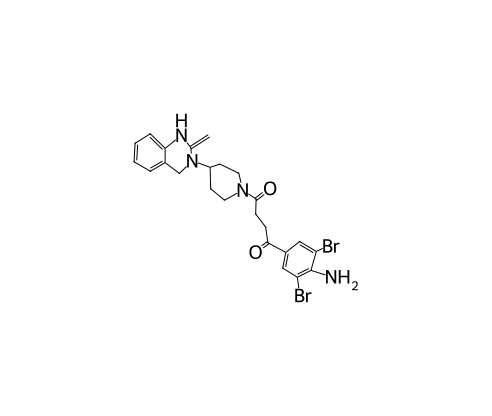 C=C1Nc2ccccc2CN1C1CCN(C(=O)CCC(=O)c2cc(Br)c(N)c(Br)c2)CC1